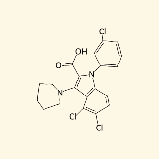 O=C(O)c1c(N2CCCCC2)c2c(Cl)c(Cl)ccc2n1-c1cccc(Cl)c1